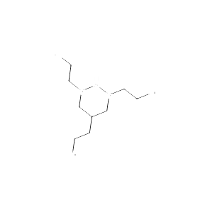 OCCC1CN(CCO)NN(CCO)C1